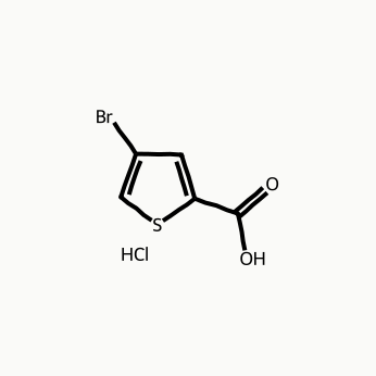 Cl.O=C(O)c1cc(Br)cs1